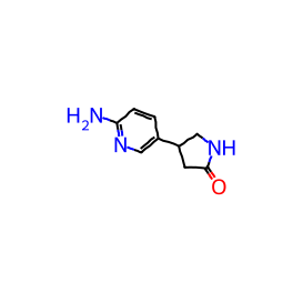 Nc1ccc(C2CNC(=O)C2)cn1